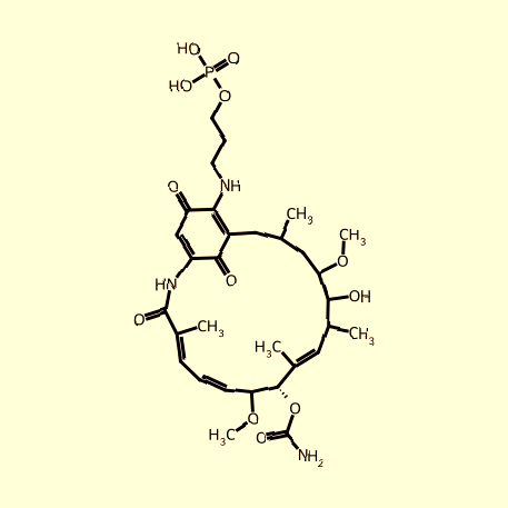 COC1CC(C)CC2=C(NCCCOP(=O)(O)O)C(=O)C=C(NC(=O)/C(C)=C/C=C\C(OC)[C@@H](OC(N)=O)/C(C)=C/C(C)C1O)C2=O